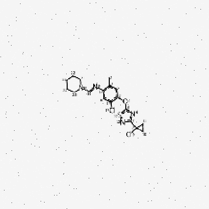 Cc1cc(Oc2nc(C3(Cl)CC3)ns2)c(Cl)cc1N=CN1CCCCC1